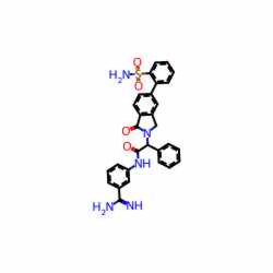 N=C(N)c1cccc(NC(=O)C(c2ccccc2)N2Cc3cc(-c4ccccc4S(N)(=O)=O)ccc3C2=O)c1